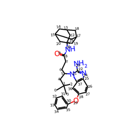 CC(C)(C)CC(CCC(=O)NC12CC3CC(CC(C3)C1)C2)n1c(N)nc2ccc(Oc3ccccc3)cc21